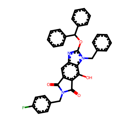 O=C1c2cc3nc(OC(c4ccccc4)c4ccccc4)n(Cc4ccccc4)c3c(O)c2C(=O)N1Cc1ccc(F)cc1